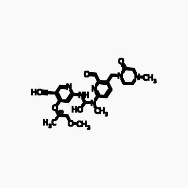 C#Cc1cnc(NC(O)N(C)c2ccc(CN3CCN(C)CC3=O)c(C=O)n2)cc1O[C@H](C)COC